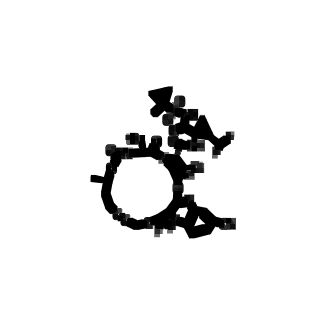 CC[C@@H]1[C@@H]2CN(C(=O)[C@H](C(C)(C)C)NC(=O)O[C@H](C)CCCCCCC(F)(F)C3Nc4ccc(C#N)cc4N=C3O2)[C@@H]1C(=O)N[C@]1(C(=O)NS(=O)(=O)C2(C)CC2)C[C@H]1C(F)F